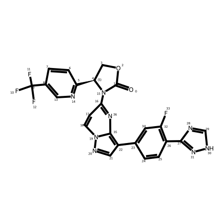 O=C1OC[C@H](c2ccc(C(F)(F)F)cn2)N1c1ccn2ncc(-c3ccc(-c4nc[nH]n4)c(F)c3)c2n1